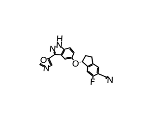 N#Cc1cc2c(cc1F)[C@H](Oc1ccc3[nH]nc(-c4cnco4)c3c1)CC2